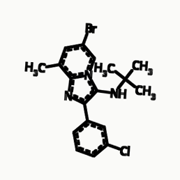 Cc1cc(Br)cn2c(NC(C)(C)C)c(-c3cccc(Cl)c3)nc12